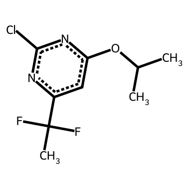 CC(C)Oc1cc(C(C)(F)F)nc(Cl)n1